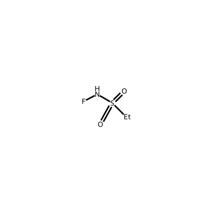 CCS(=O)(=O)NF